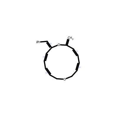 C=C1/C=C\C=C/COC\C=C/C=C\C(=C/C(C)C)O1